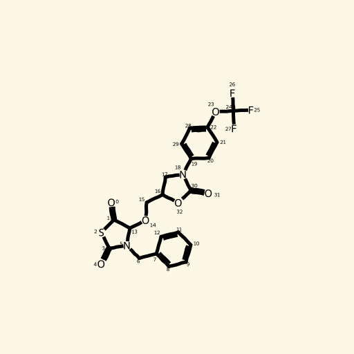 O=C1SC(=O)N(Cc2ccccc2)C1OCC1CN(c2ccc(OC(F)(F)F)cc2)C(=O)O1